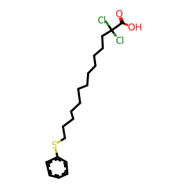 O=C(O)C(Cl)(Cl)CCCCCCCCCCCCSc1ccccc1